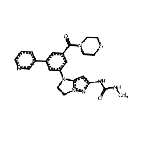 CNC(=O)Nc1cc2n(n1)CCN2c1cc(C(=O)N2CCOCC2)cc(-c2cccnc2)c1